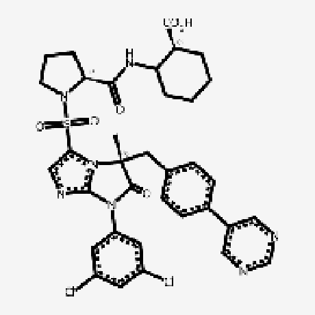 C[C@@]1(Cc2ccc(-c3cncnc3)cc2)C(=O)N(c2cc(Cl)cc(Cl)c2)c2ncc(S(=O)(=O)N3CCC[C@H]3C(=O)NC3CCCC[C@@H]3C(=O)O)n21